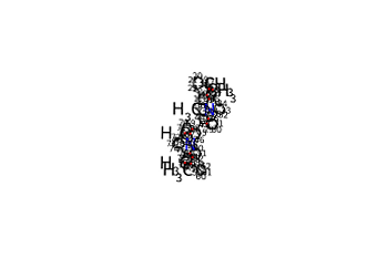 Cc1cc(-c2ccc(N(c3ccc4c(c3)C(C)(C)c3ccccc3-4)c3c(-c4ccccc4)cccc3-c3ccccc3)c(C)c2)ccc1N(c1ccc2c(c1)C(C)(C)c1ccccc1-2)c1c(-c2ccccc2)cccc1-c1ccccc1